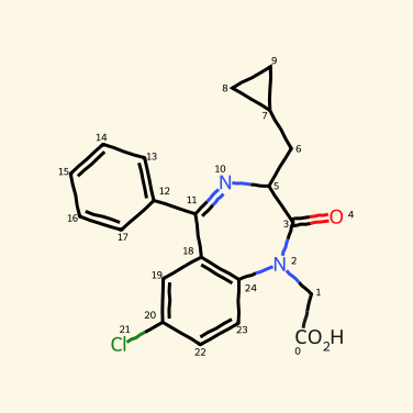 O=C(O)CN1C(=O)C(CC2CC2)N=C(c2ccccc2)c2cc(Cl)ccc21